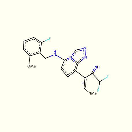 CN/C=C(\C(=N)C(F)F)c1ccc(NCc2c(F)cccc2OC)n2cnnc12